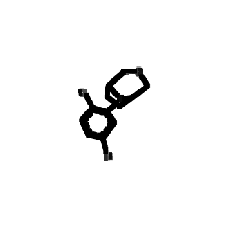 CCc1ccc(Cl)c(N2C3CCC2COC3)c1